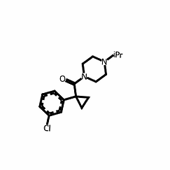 CC(C)N1CCN(C(=O)C2(c3cccc(Cl)c3)CC2)CC1